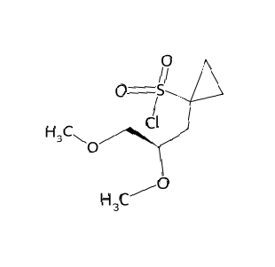 COC[C@@H](CC1(S(=O)(=O)Cl)CC1)OC